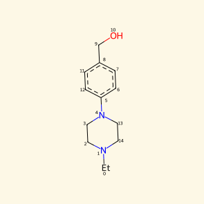 CCN1CCN(c2ccc(CO)cc2)CC1